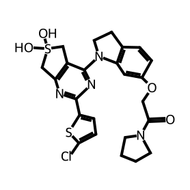 O=C(COc1ccc2c(c1)N(c1nc(-c3ccc(Cl)s3)nc3c1CS(O)(O)C3)CC2)N1CCCC1